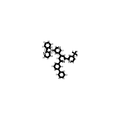 CC(C)(C)c1ccnc(-c2cc(-c3cncc(-n4c5ccccc5c5ncccc54)c3)cc(-c3cccc(-c4ccccc4)c3)n2)c1